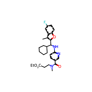 CCOC(=O)CCN(C)C(=O)c1ccc(NC(c2oc3ccc(F)cc3c2C)C2CCCCC2)nc1